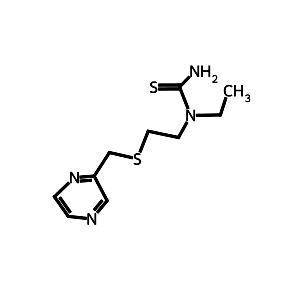 CCN(CCSCc1cnccn1)C(N)=S